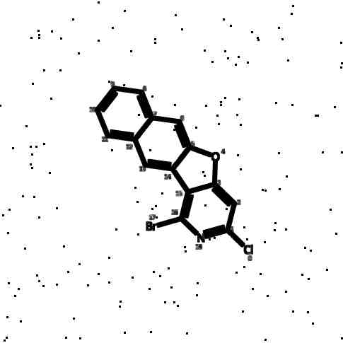 Clc1cc2oc3cc4ccccc4cc3c2c(Br)n1